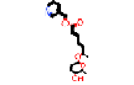 C[C@H](CC/C=C/C(=O)OCc1cccnc1)O[C@H]1CC[C@@H](O)[C@H](C)O1